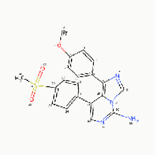 CC(C)Oc1ccc(-c2ncn3c(N)ncc(-c4ccc(S(C)(=O)=O)cc4)c23)cc1